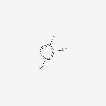 O=Nc1cc(Br)ccc1F